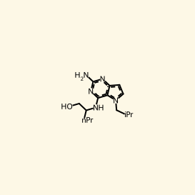 CCCC(CO)Nc1nc(N)nc2ccn(CC(C)C)c12